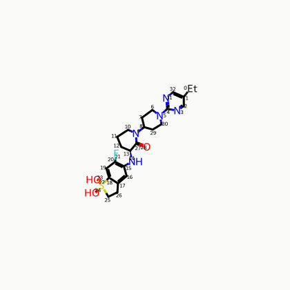 CCc1cnc(N2CCC(N3CCC[C@H](Nc4cc5c(cc4F)S(O)(O)CC5)C3=O)CC2)nc1